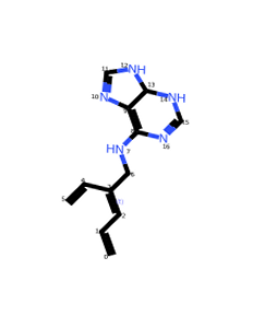 C=C/C=C(\C=C)CNC1=C2N=CNC2NC=N1